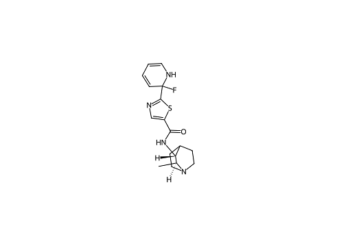 C[C@H]1[C@H](NC(=O)c2cnc(C3(F)C=CC=CN3)s2)C2CCN1CC2